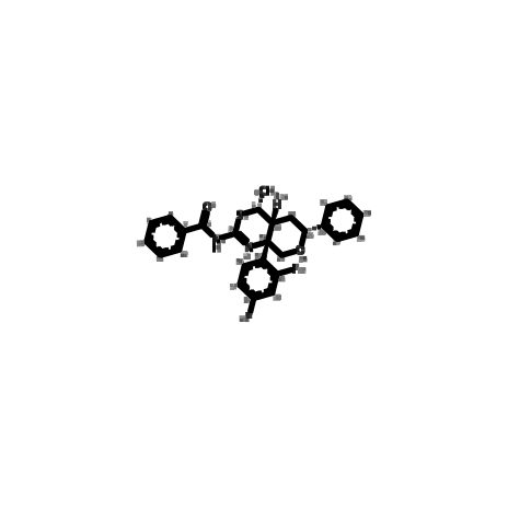 C[C@H]1SC(NC(=O)c2ccccc2)=N[C@@]2(c3ccc(F)cc3F)CO[C@@H](c3ccccc3)C[C@@H]12